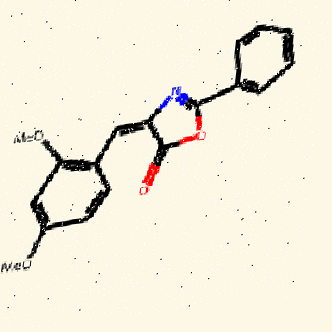 COc1ccc(C=C2N=C(c3ccccc3)OC2=O)c(OC)c1